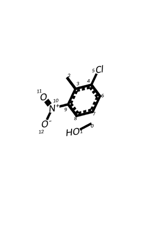 CO.Cc1c(Cl)cccc1[N+](=O)[O-]